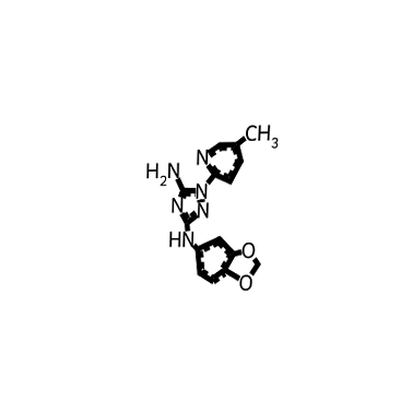 Cc1ccc(-n2nc(Nc3ccc4c(c3)OCO4)nc2N)nc1